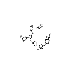 CCn1nc(Cc2ccc(C(F)(F)F)cc2)cc1C1CCN(C[C@H]2C[C@H](OC(=O)CN(C)C(C)(C)C)C[C@@H]2c2cccc(F)c2)CC1.Cl.Cl.Cl